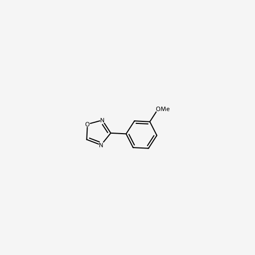 COc1cccc(-c2ncon2)c1